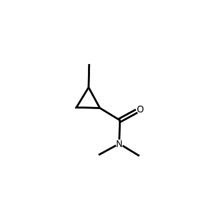 CC1CC1C(=O)N(C)C